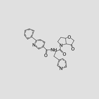 O=C(NC(Cc1cccnc1)C(=O)N1CCC2OCC(=O)C21)c1ccc(-c2ccccc2)nc1